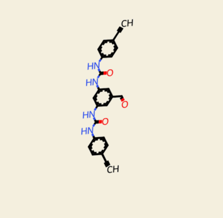 C#Cc1ccc(NC(=O)Nc2cc(C=O)cc(NC(=O)Nc3ccc(C#C)cc3)c2)cc1